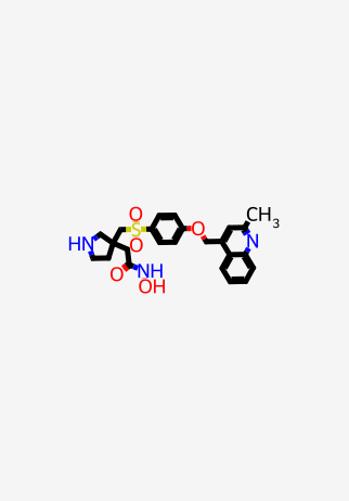 Cc1cc(COc2ccc(S(=O)(=O)CC3(CC(=O)NO)CCNC3)cc2)c2ccccc2n1